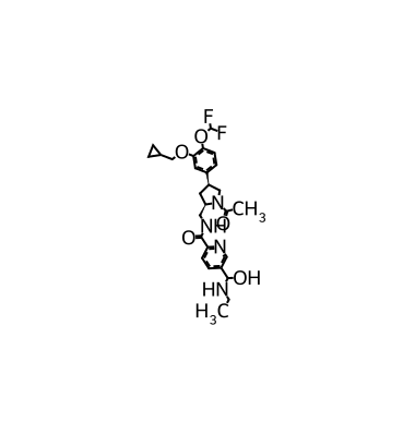 CCNC(O)c1ccc(C(=O)NC[C@H]2C[C@@H](c3ccc(OC(F)F)c(OCC4CC4)c3)CN2C(C)=O)nc1